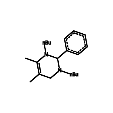 CCCCN1CC(C)=C(C)N(CCCC)C1c1ccccc1